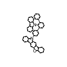 c1ccc(-c2cccc(-c3ccc(-n4c5ccccc5c5cc6oc7ccccc7c6cc54)cc3)c2-n2c3ccccc3c3ccccc32)cc1